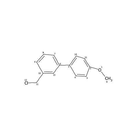 COc1ccc(-c2cccc(CCl)c2)cc1